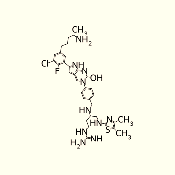 Cc1nc(NC[C@@H](CCNC(=N)N)NCc2ccc(N3C=c4cc(-c5cc(CCC[C@H](C)N)cc(Cl)c5F)[nH]c4=NC3O)cc2)sc1C